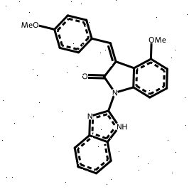 COc1ccc(C=C2C(=O)N(c3nc4ccccc4[nH]3)c3cccc(OC)c32)cc1